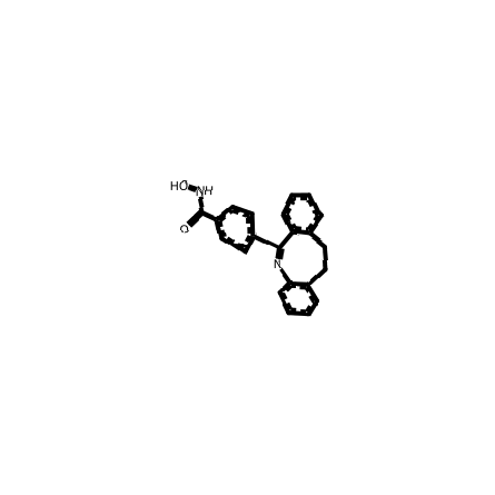 O=C(NO)c1ccc(/C2=N/c3ccccc3CCc3ccccc32)cc1